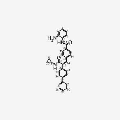 Nc1ccccc1NC(=O)c1ccc(C=C(C(=O)NC2CC2)c2ccc(-c3ccccc3)cc2)cc1